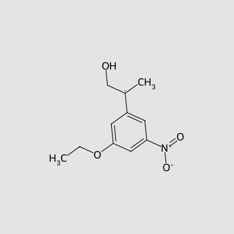 CCOc1cc([C](C)CO)cc([N+](=O)[O-])c1